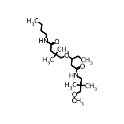 CCCCNC(=O)CC(C)(C)COC(CC)CC(=O)NCC(C)(C)COC